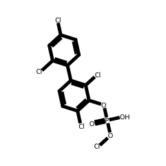 O=P(O)(OCl)Oc1c(Cl)ccc(-c2ccc(Cl)cc2Cl)c1Cl